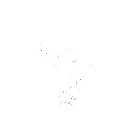 O=P(O)(O)O.O=c1ccn([C@@H]2O[C@H](COP(=O)(O)OP(=O)(O)O[C@H]3O[C@H](CO)[C@@H](O)[C@H](O)[C@H]3O)[C@@H](O)[C@H]2O)c(=O)[nH]1